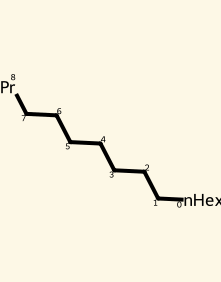 [CH2]CCCCCCCCCCCCC([CH2])C